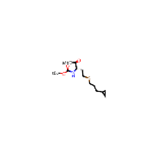 COC(=O)[C@H](CCSCCCC1CC1)NC(=O)OC(C)(C)C